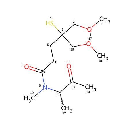 COCC(S)(CCC(=O)N(C)[C@@H](C)C(C)=O)COC